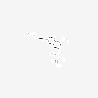 CCNC(=O)C(S)Oc1cc(C)c2ncc(C#CCOC)cc2c1